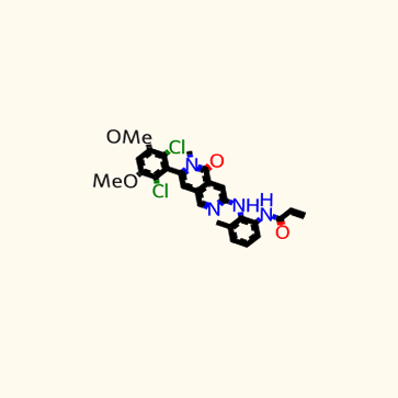 C=CC(=O)Nc1cccc(C)c1Nc1cc2c(=O)n(C)c(-c3c(Cl)c(OC)cc(OC)c3Cl)cc2cn1